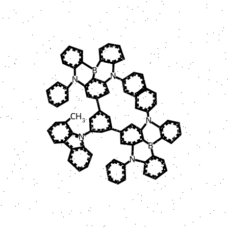 Cc1cccc2c3ccccc3n(-c3cc(-c4cc5c6c(c4)N(c4ccccc4)c4ccccc4B6c4ccccc4N5c4ccccc4)cc(-c4cc5c6c(c4)N(c4ccccc4)c4ccccc4B6c4ccccc4N5c4ccccc4)c3)c12